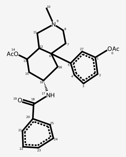 CC(=O)Oc1cccc(C23CCN(C)CC2C(OC(C)=O)C[C@@H](NC(=O)c2ccccc2)C3)c1